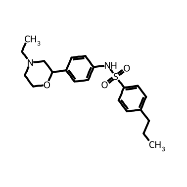 CCCc1ccc(S(=O)(=O)Nc2ccc(C3CN(CC)CCO3)cc2)cc1